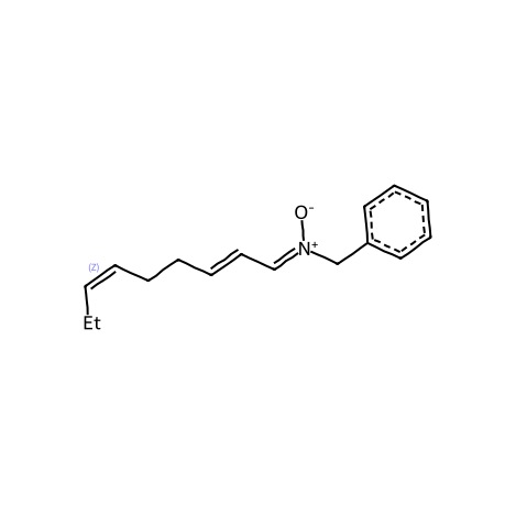 CC/C=C\CCC=CC=[N+]([O-])Cc1ccccc1